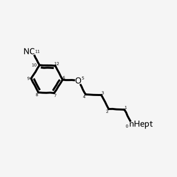 CCCCCCCCCCCOc1cccc(C#N)c1